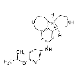 CC(C)Oc1ccc(Nc2cc3c4c(c2)[C@@H]2CNCC[C@@H]2N4CCOC3)cn1